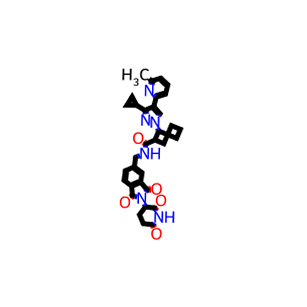 Cc1cccc(-c2cn(C3C(C(=O)NCc4ccc5c(c4)C(=O)N(C4CCC(=O)NC4=O)C5=O)CC34CCC4)nc2C2CC2)n1